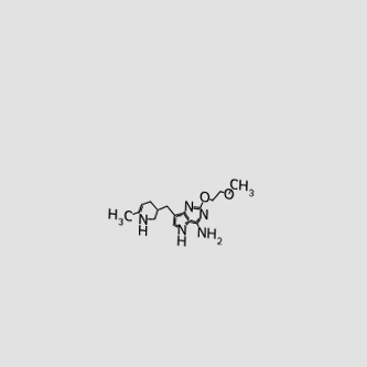 COCCOc1nc(N)c2[nH]cc(CC3CC=C(C)NC3)c2n1